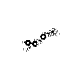 COc1cc(F)ccc1-c1ccnc(NC(=O)[C@H]2CC[C@@H](NC(=O)OC(C)(C)C)CC2)c1